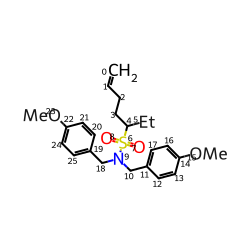 C=CCCC(CC)S(=O)(=O)N(Cc1ccc(OC)cc1)Cc1ccc(OC)cc1